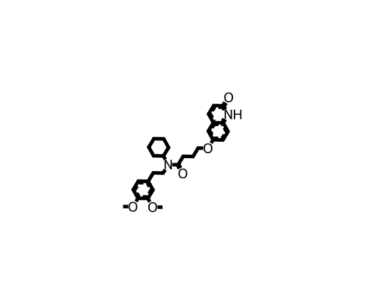 COc1ccc(CCN(C(=O)CCCOc2ccc3[nH]c(=O)ccc3c2)C2CCCCC2)cc1OC